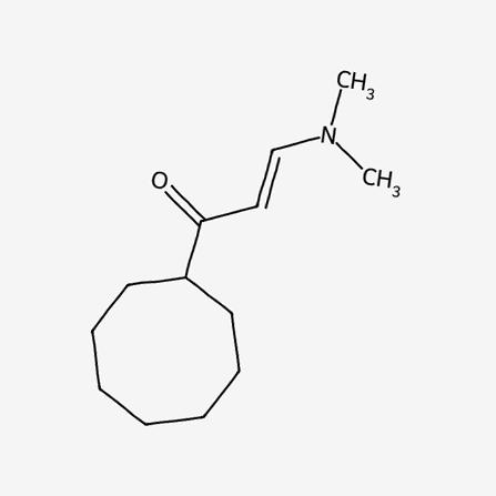 CN(C)/C=C/C(=O)C1CCCCCCC1